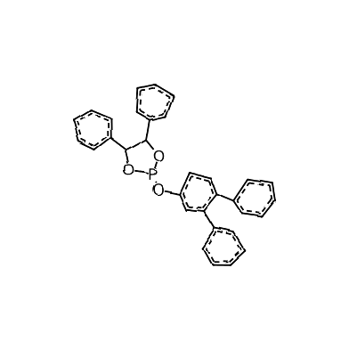 c1ccc(-c2ccc(OP3OC(c4ccccc4)C(c4ccccc4)O3)cc2-c2ccccc2)cc1